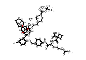 C[C@@H]1CN(C(=O)OC(C)(C)C)CCN1CCOc1cc(N2C3CCC2CN(c2cc(-c4cc(F)ccc4OCc4ccc(NC(=O)[C@H](CCCNC(N)=O)NC(=O)C5(C(=O)O)CCC5)cc4)nnc2N)C3)ccn1